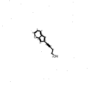 OCCC#Cc1cc2cccoc-2c1